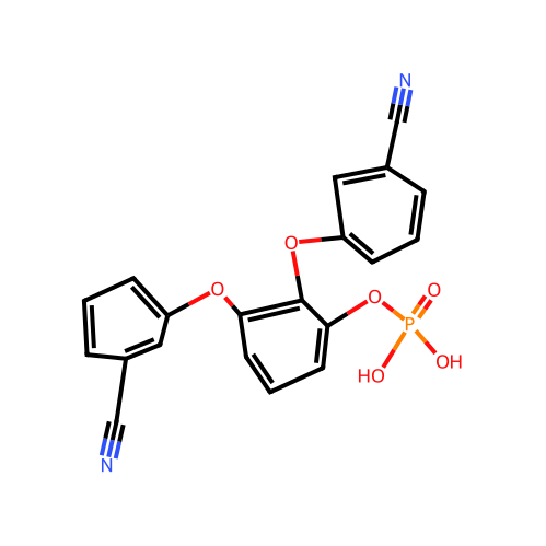 N#Cc1cccc(Oc2cccc(OP(=O)(O)O)c2Oc2cccc(C#N)c2)c1